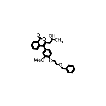 COc1cc(-c2c(CC(C)O)oc(=O)c3ccccc23)ccc1OCCOCc1ccccc1